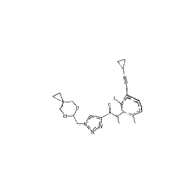 Cc1ccc(C#CC2CC2)c(F)c1N(C)C(=O)c1cn(CC2OCC3(CC3)CO2)nn1